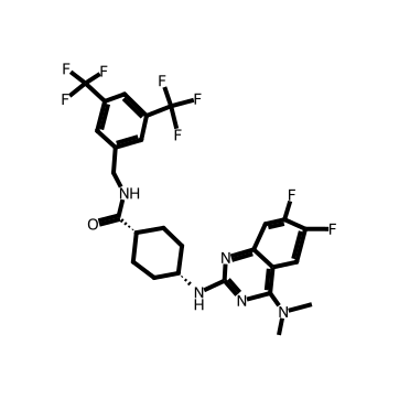 CN(C)c1nc(N[C@H]2CC[C@@H](C(=O)NCc3cc(C(F)(F)F)cc(C(F)(F)F)c3)CC2)nc2cc(F)c(F)cc12